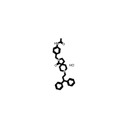 CC(=O)Nc1ccc(CN2CCC3(CCN(CCC(c4ccccc4)c4ccccc4)CC3)C2=O)cc1.Cl